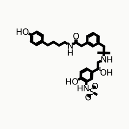 CC(C)(Cc1cccc(CC(=O)NCCCCc2ccc(O)cc2)c1)NC[C@H](O)c1ccc(O)c(NS(C)(=O)=O)c1